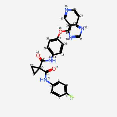 O=C(Nc1ccc(F)cc1)C1(C(=O)Nc2ccc(Oc3ncnc4ccncc34)cc2)CC1